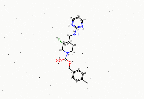 Cc1ccc(COC(O)N2CC[C@H](CNc3ncccn3)[C@H](F)C2)cc1